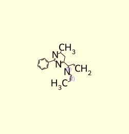 C=C/C(=N\C=C/C)C1=NC(c2ccccc2)=NC(C)C1